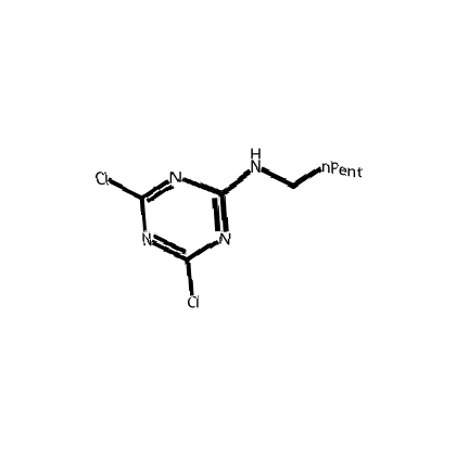 CCCCCCNc1nc(Cl)nc(Cl)n1